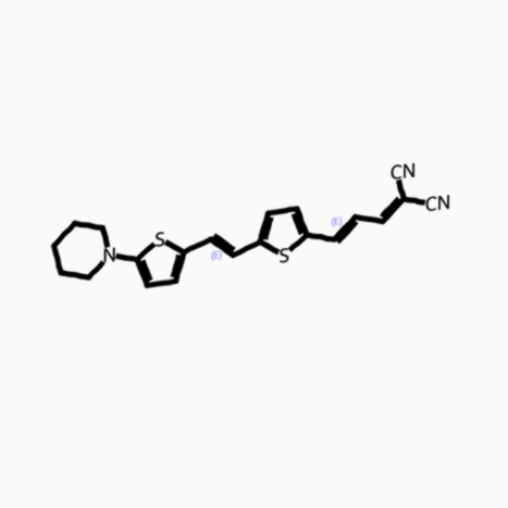 N#CC(C#N)=C/C=C/c1ccc(/C=C/c2ccc(N3CCCCC3)s2)s1